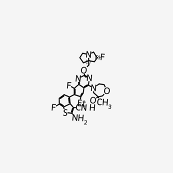 CCc1cc2c(N3CCOCC(C)(O)C3)nc(OC[C@@]34CCCN3C[C@H](F)C4)nc2c(F)c1-c1ccc(F)c2sc(N)c(C#N)c12